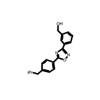 CC(C)Cc1ccc(-c2nc(-c3cccc(CO)c3)no2)cc1